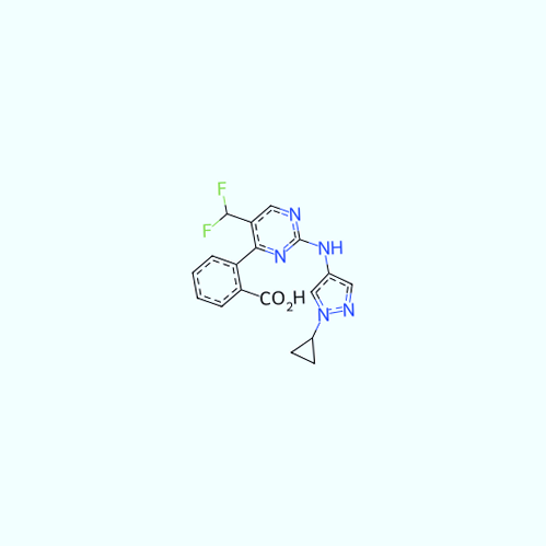 O=C(O)c1ccccc1-c1nc(Nc2cnn(C3CC3)c2)ncc1C(F)F